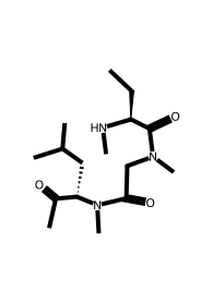 CC[C@H](NC)C(=O)N(C)CC(=O)N(C)[C@@H](CC(C)C)C(C)=O